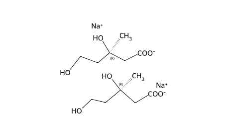 C[C@@](O)(CCO)CC(=O)[O-].C[C@@](O)(CCO)CC(=O)[O-].[Na+].[Na+]